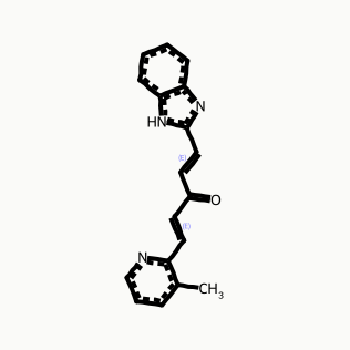 Cc1cccnc1/C=C/C(=O)/C=C/c1nc2ccccc2[nH]1